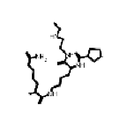 C=C(N)CCCCC(C)C(=C)NCCCCC(NC(=C)C1CCCC1)C(=C)NCCNCC